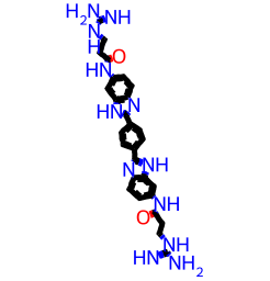 N=C(N)NCCC(=O)Nc1ccc2nc(-c3ccc(-c4nc5ccc(NC(=O)CCNC(=N)N)cc5[nH]4)cc3)[nH]c2c1